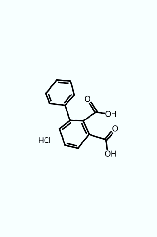 Cl.O=C(O)c1cccc(-c2ccccc2)c1C(=O)O